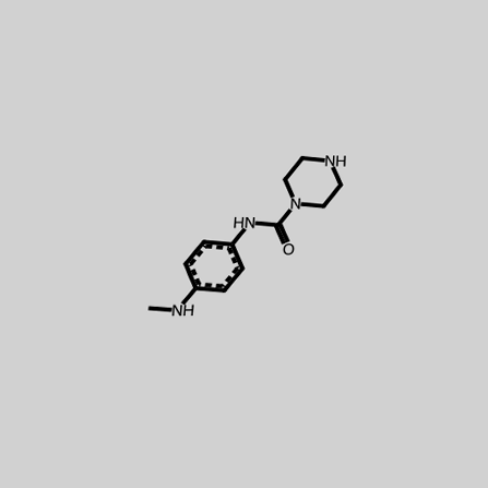 CNc1ccc(NC(=O)N2CCNCC2)cc1